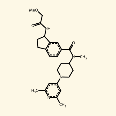 COCC(=O)NC1CCc2ccc(C(=O)N(C)C3CCN(c4cc(C)nc(C)c4)CC3)cc21